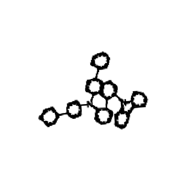 c1ccc(-c2ccc(N(c3ccc(-c4ccccc4)cc3)c3ccccc3-c3ccccc3-n3c4ccccc4c4ccccc43)cc2)cc1